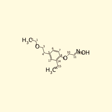 CCOCCc1ccc(OCC=NO)c(CC)c1